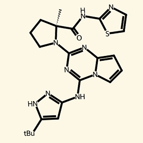 CC(C)(C)c1cc(Nc2nc(N3CCC[C@@]3(C)C(=O)Nc3nccs3)nc3cccn23)n[nH]1